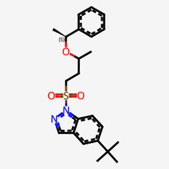 CC(CCS(=O)(=O)n1ncc2cc(C(C)(C)C)ccc21)O[C@@H](C)c1ccccc1